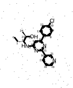 CC[C@@H](Nc1cc(-c2ccc(Cl)cc2)nc(-c2cccnc2)n1)[C@@H](C)O